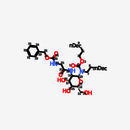 CCCCCCCCCCCCOC(=O)N(CCCCCCCCCCCC)[C@@H]1O[C@H](CO)[C@@H](O)[C@H](O)[C@H]1NC(=O)CNC(=O)OCc1ccccc1